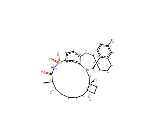 C[C@H]1CCCC[C@@H]2CC[C@H]2CN2C[C@@]3(CCCc4cc(Cl)ccc43)COc3ccc(cc32)S(=O)(=O)NC(=O)[C@@H]1C